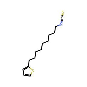 S=C=NCCCCCCCCCc1cccs1